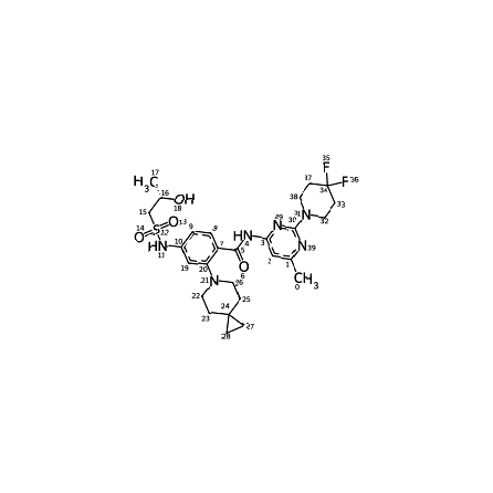 Cc1cc(NC(=O)c2ccc(NS(=O)(=O)C[C@H](C)O)cc2N2CCC3(CC2)CC3)nc(N2CCC(F)(F)CC2)n1